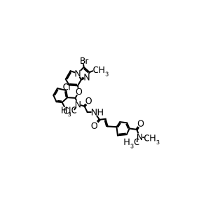 Cc1nc2c(OC(c3c(Cl)cccc3Cl)N(C)C(=O)CNC(=O)C=Cc3ccc(C(=O)N(C)C)cc3)cccn2c1Br